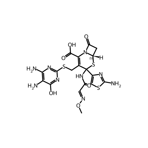 CON=CC(=O)NC1(c2csc(N)n2)S[C@H]2CC(=O)N2C(C(=O)O)=C1CSc1nc(N)c(N)c(O)n1